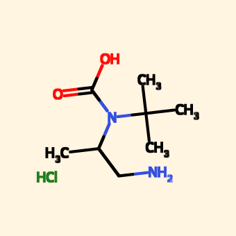 CC(CN)N(C(=O)O)C(C)(C)C.Cl